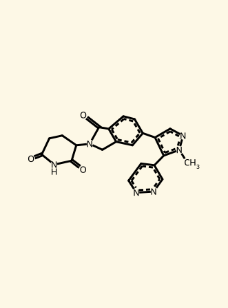 Cn1ncc(-c2ccc3c(c2)CN(C2CCC(=O)NC2=O)C3=O)c1-c1ccnnc1